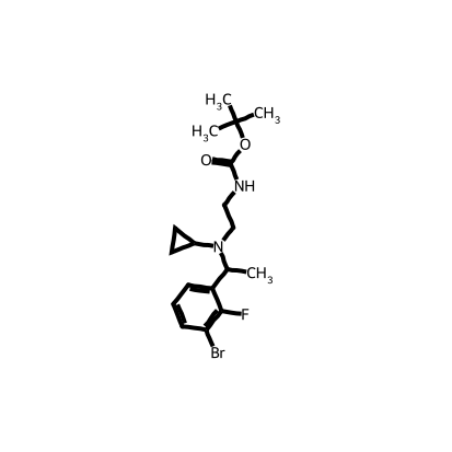 CC(c1cccc(Br)c1F)N(CCNC(=O)OC(C)(C)C)C1CC1